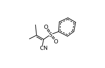 CC(C)=C(C#N)S(=O)(=O)c1ccccc1